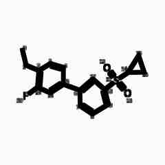 CCc1ccc(-c2cccc(S(=O)(=O)C3CC3)c2)cc1F